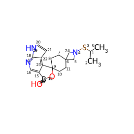 CC(C)SN1CC2(CCC3(CC2)OB(O)c2cnc4[nH]ccc4c23)C1